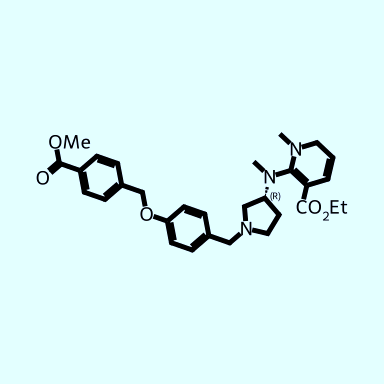 CCOC(=O)C1=C(N(C)[C@@H]2CCN(Cc3ccc(OCc4ccc(C(=O)OC)cc4)cc3)C2)N(C)CC=C1